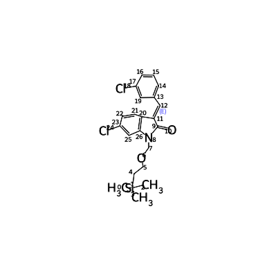 C[Si](C)(C)CCOCN1C(=O)/C(=C/c2cccc(Cl)c2)c2ccc(Cl)cc21